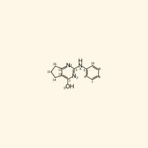 Oc1nc(Nc2ccccc2)nc2c1CCC2